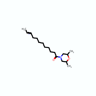 C/C=C/CCCCCCCCC(=O)N1CC(C)OC(C)C1